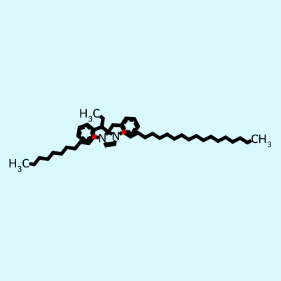 CCCCCCCCCCCCCCCCCCCN1C=CN(CCCCCCCCCCC)C1(Cc1ccccc1)C(CC)c1ccccc1